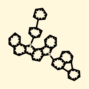 c1ccc(-c2ccc(-n3c4c5ccccc5ccc4c4ccc5c(c6ccccc6n5-c5ccc6c7c(cccc57)-c5ccccc5-6)c43)cc2)cc1